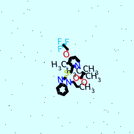 CCC(OC(=O)C(C)(C)C)n1c(SCc2nccc(OCC(F)(F)F)c2C)nc2ccccc21